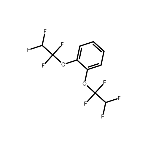 FC(F)C(F)(F)Oc1ccccc1OC(F)(F)C(F)F